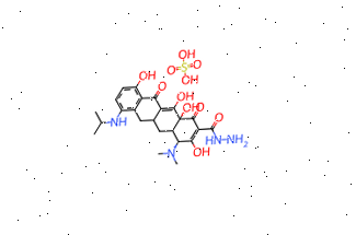 CC(C)Nc1ccc(O)c2c1CC1CC3[C@H](N(C)C)C(O)=C(C(=O)NN)C(=O)[C@@]3(O)C(O)=C1C2=O.O=S(=O)(O)O